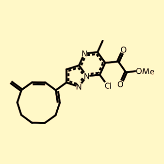 C=C1/C=C\C(c2cc3nc(C)c(C(=O)C(=O)OC)c(Cl)n3n2)=C/CCCCC1